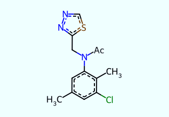 CC(=O)N(Cc1nncs1)c1cc(C)cc(Cl)c1C